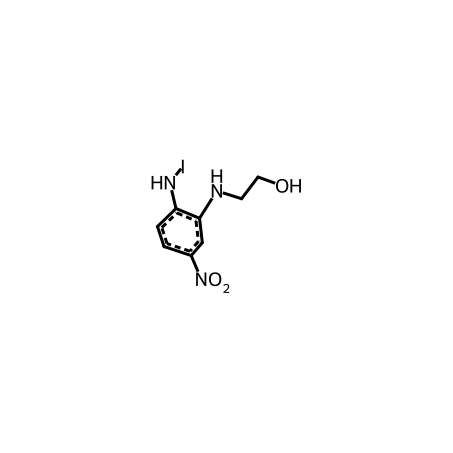 O=[N+]([O-])c1ccc(NI)c(NCCO)c1